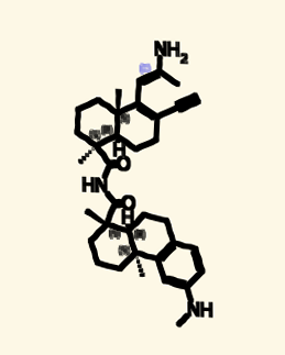 C#CC1=C(/C=C(\C)N)[C@@]2(C)CCC[C@](C)(C(=O)NC(=O)[C@@]3(C)CCC[C@]4(C)c5cc(NC)ccc5CC[C@@H]34)[C@@H]2CC1